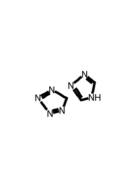 C1N=NN=N1.c1nnc[nH]1